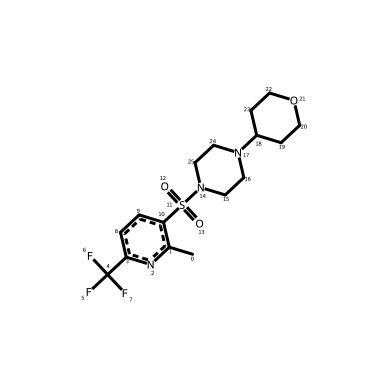 Cc1nc(C(F)(F)F)ccc1S(=O)(=O)N1CCN(C2CCOCC2)CC1